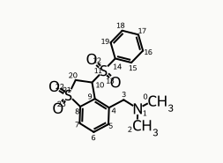 CN(C)Cc1cccc2c1C(S(=O)(=O)c1ccccc1)CS2(=O)=O